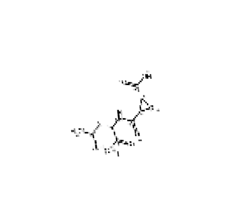 CC(=O)[C@H](CC(C)C)NC(=O)[C@@H]1O[C@H]1C(=O)O